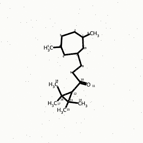 CC1CCC(C)CC(CCC(=O)C2C(C)(C)C2(C)C)C1